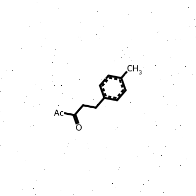 CC(=O)C(=O)CCc1ccc(C)cc1